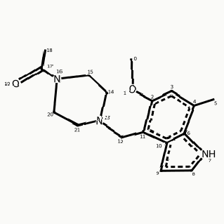 COc1cc(C)c2[nH]ccc2c1CN1CCN(C(C)=O)CC1